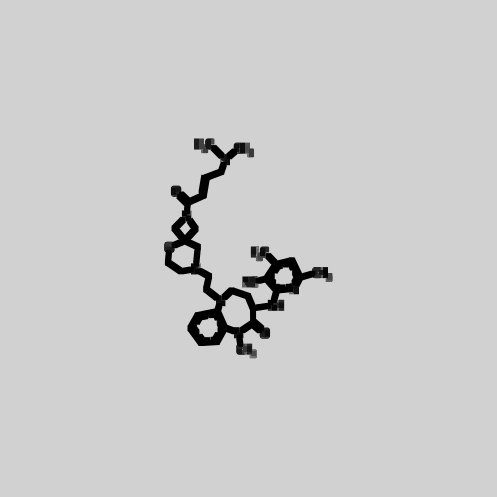 Cc1cc(C(F)(F)F)c(C#N)c(NC2CCN(CCN3CCOC4(C3)CN(C(=O)C=CCN(C)C)C4)c3ccccc3N(C)C2=O)n1